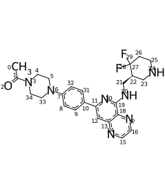 CC(=O)N1CCN(c2ccc(-c3cc4nccnc4c(NC[C@@H]4CNCCC4(F)F)n3)cc2)CC1